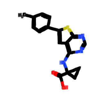 Cc1ccc(-c2cc3c(NC4(C(=O)O)CC4)ncnc3s2)cc1